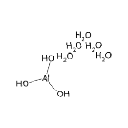 O.O.O.O.O.[OH][Al]([OH])[OH]